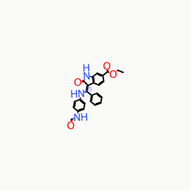 CCOC(=O)c1ccc2c(c1)NC(=O)/C2=C(\Nc1ccc(NC=O)cc1)c1ccccc1